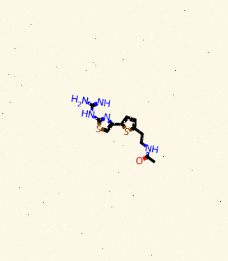 CC(=O)NCCc1ccc(-c2csc(NC(=N)N)n2)s1